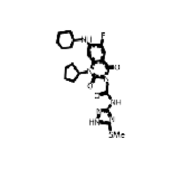 CSc1nc(NC(=O)Cn2c(=O)c3cc(F)c(NC4CCCCC4)cc3n(C3CCCC3)c2=O)n[nH]1